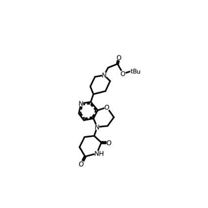 CC(C)(C)OC(=O)CN1CCC(c2nccc3c2OCCN3C2CCC(=O)NC2=O)CC1